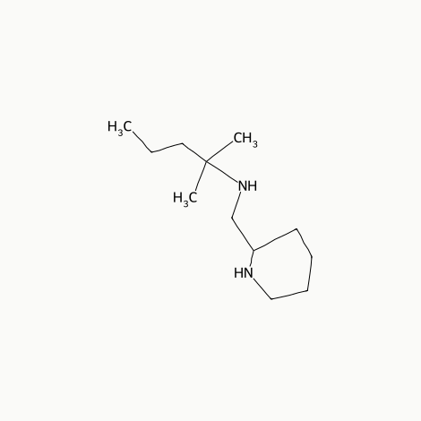 CCCC(C)(C)NCC1CCCCN1